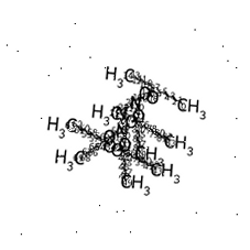 CC/C=C/C=C/CCC(CCCCCC)C(=O)OCCN(CCCN(C)CCCN(CCOC(=O)C(CC/C=C/C=C/CC)CCCCCC)CCOC(=O)C(CC/C=C/C=C/CC)CCCCCC)CCOC(=O)C(CC/C=C/C=C/CC)CCCCCC